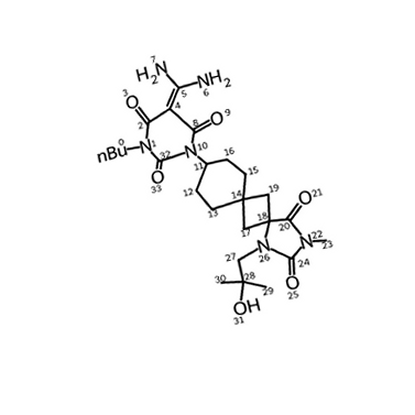 CCCCN1C(=O)C(=C(N)N)C(=O)N(C2CCC3(CC2)CC2(C3)C(=O)N(C)C(=O)N2CC(C)(C)O)C1=O